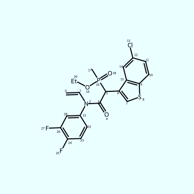 C=CN(C(=O)C(c1csc2ccc(Cl)cc12)P(C)(=O)OCC)c1ccc(F)c(F)c1